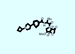 CO[C@@H]1CN(C(=O)C(NC(=O)c2ccc(C3CCN(C4CCC4)CC3)cc2)C(C)(C)C)[C@@H]2C(=O)CO[C@@H]21